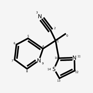 CC(C#N)(c1ccccn1)c1nccs1